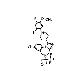 COc1cc(N2CCC(c3nnc4n3-c3ccc(Cl)cc3CN(C3(C(F)(F)F)COC3)C4)CC2)c(F)cc1F